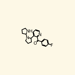 O=C(c1ccc(F)cc1)c1ncccc1C1CCCN1C1CCCN1